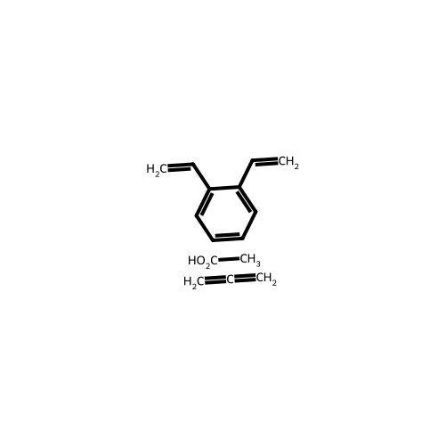 C=C=C.C=Cc1ccccc1C=C.CC(=O)O